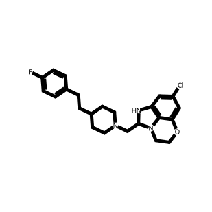 Fc1ccc(CCC2CCN(CC3Nc4cc(Cl)cc5c4N3CCO5)CC2)cc1